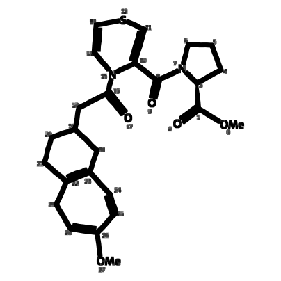 COC(=O)[C@@H]1CCCN1C(=O)C1=CSC=CN1C(=O)CC1CCC2=C(C=CC(OC)=CC2)C1